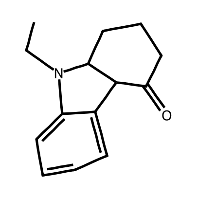 CCN1c2ccccc2C2C(=O)CCCC21